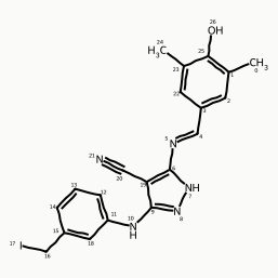 Cc1cc(/C=N/c2[nH]nc(Nc3cccc(CI)c3)c2C#N)cc(C)c1O